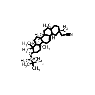 CC1(C)C(O[Si](C)(C)C(C)(C)C)CC[C@]2(C)C3CC=C4[C@@H]5C[C@@](C)(CC#N)CC[C@]5(C)CC[C@@]4(C)[C@]3(C)CC[C@@H]12